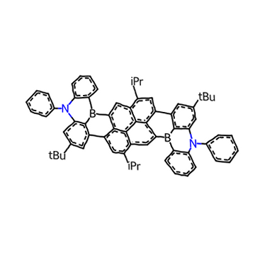 CC(C)c1cc2c3c(cc4c(C(C)C)cc5c6c(cc1c3c46)B1c3ccccc3N(c3ccccc3)c3cc(C(C)(C)C)cc-5c31)B1c3ccccc3N(c3ccccc3)c3cc(C(C)(C)C)cc-2c31